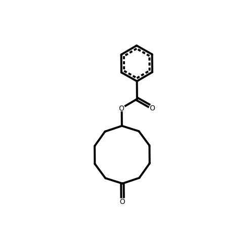 O=C1CCCCC(OC(=O)c2ccccc2)CCCC1